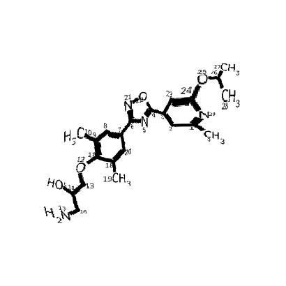 Cc1cc(-c2nc(-c3cc(C)c(OCC(O)CN)c(C)c3)no2)cc(OC(C)C)n1